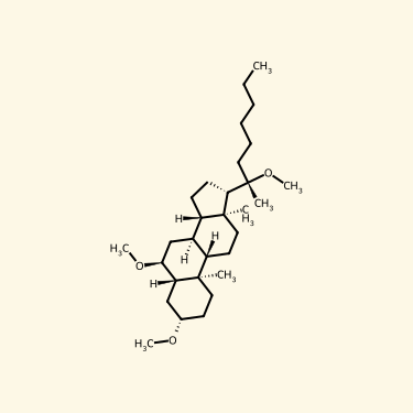 CCCCCC[C@](C)(OC)[C@H]1CC[C@H]2[C@@H]3C[C@H](OC)[C@H]4C[C@@H](OC)CC[C@]4(C)[C@H]3CC[C@@]21C